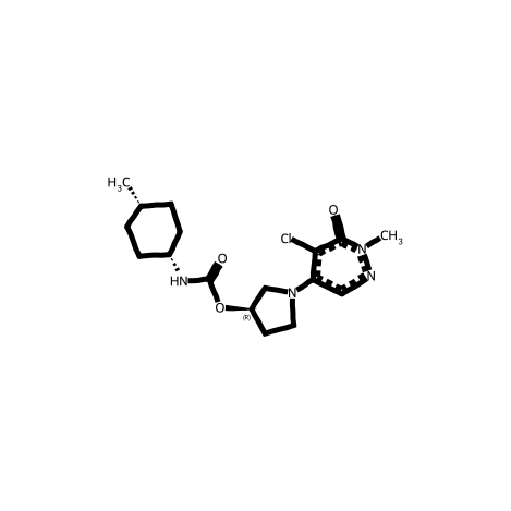 Cn1ncc(N2CC[C@@H](OC(=O)N[C@H]3CC[C@@H](C)CC3)C2)c(Cl)c1=O